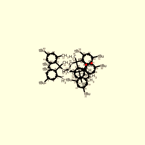 Cc1cc(C(C)(C)C)cc(C(C)(C)C)c1C(C)(OP(OC(C)(c1c(C)cc(C(C)(C)C)cc1C(C)(C)C)c1c(C)cc(C(C)(C)C)cc1C(C)(C)C)OC(C)(c1c(C)cc(C(C)(C)C)cc1C(C)(C)C)c1c(C)cc(C(C)(C)C)cc1C(C)(C)C)c1c(C)cc(C(C)(C)C)cc1C(C)(C)C